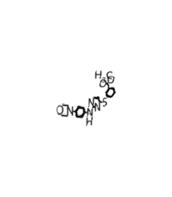 COC(=O)c1cccc(Sc2ccnc(Nc3ccc(N4CCOCC4)cc3)n2)c1